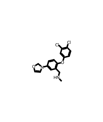 CNCc1cc(N2C=COC2)ccc1Oc1ccc(Cl)c(Cl)c1